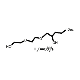 CC(=O)O.CCCCCCCCCCCCC(O)COCCOCCO.N